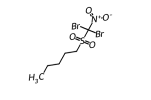 CCCCCS(=O)(=O)C(Br)(Br)[N+](=O)[O-]